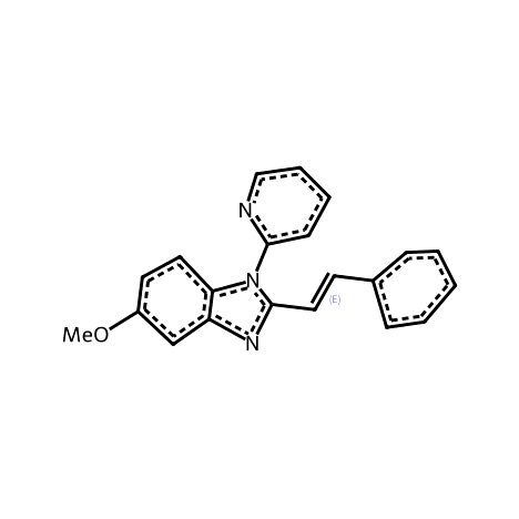 COc1ccc2c(c1)nc(/C=C/c1ccccc1)n2-c1ccccn1